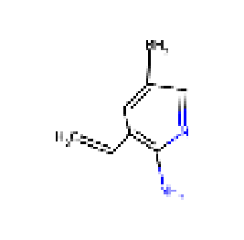 Bc1cnc(N)c(C=C)c1